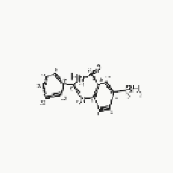 Bc1ccc2nc(-c3ccccc3)[nH]c(=O)c2c1